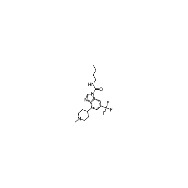 CCCCNC(=O)n1cnc2c(C3CCN(C)CC3)cc(C(F)(F)F)cc21